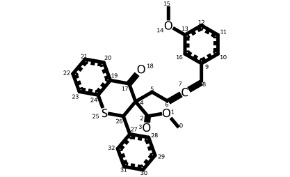 COC(=O)C1(CC=C=Cc2cccc(OC)c2)C(=O)c2ccccc2SC1c1ccccc1